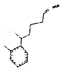 C=C=CCCCC(N)c1ccccc1F